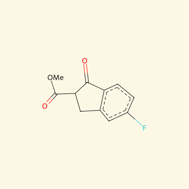 COC(=O)C1Cc2cc(F)ccc2C1=O